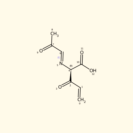 C=CC(=O)[C@@H](/N=C/C(C)=O)C(=O)O